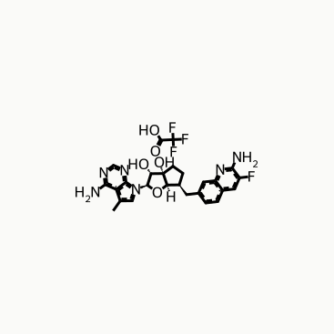 Cc1cn([C@@H]2O[C@@H]3[C@H](Cc4ccc5cc(F)c(N)nc5c4)CC[C@]3(O)[C@H]2O)c2ncnc(N)c12.O=C(O)C(F)(F)F